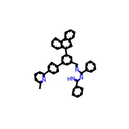 Cc1cccc(-c2ccc(-c3cc(/C=N/C(=N\C(=N)c4ccccc4)c4ccccc4)cc(-c4cc5ccccc5c5ccccc45)c3)cc2)n1